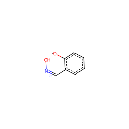 [O]c1ccccc1/C=N\O